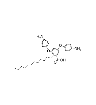 CCCCCCCCCCCCc1c(Oc2ccc(N)cc2)cc(Oc2ccc(N)cc2)cc1C(=O)O